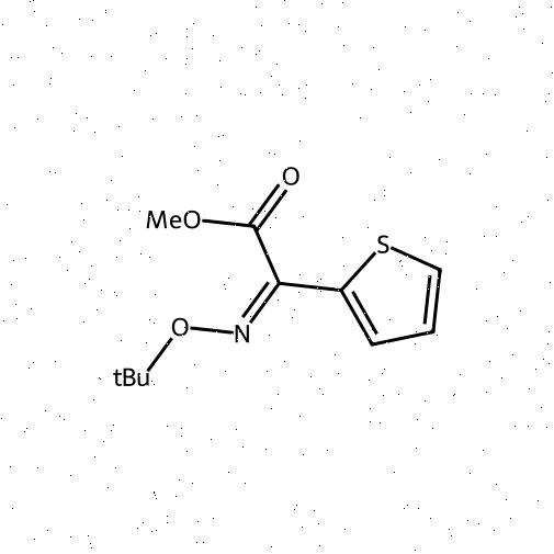 COC(=O)C(=NOC(C)(C)C)c1cccs1